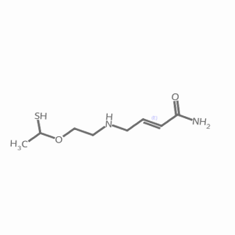 CC(S)OCCNC/C=C/C(N)=O